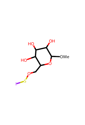 COC1OC(COSI)C(O)C(O)C1O